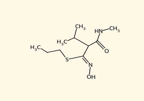 CCCS/C(=N\O)C(C(=O)NC)C(C)C